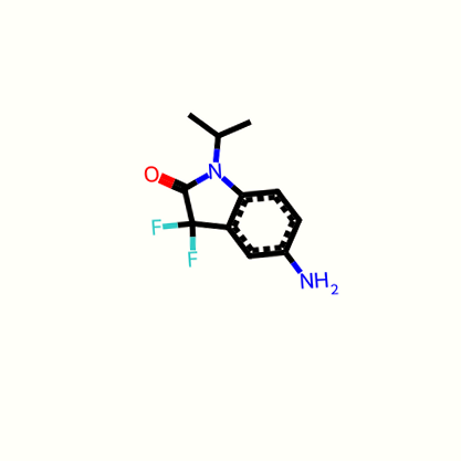 CC(C)N1C(=O)C(F)(F)c2cc(N)ccc21